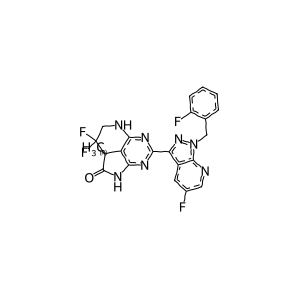 C[C@]12C(=O)Nc3nc(-c4nn(Cc5ccccc5F)c5ncc(F)cc45)nc(c31)NCC2(F)F